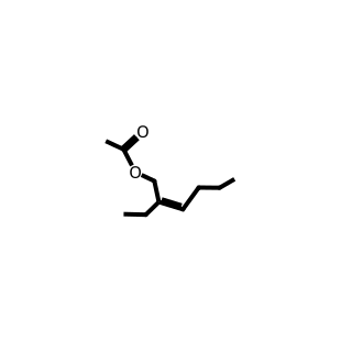 CCCC=C(CC)COC(C)=O